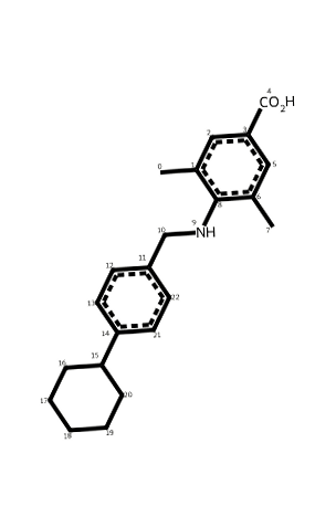 Cc1cc(C(=O)O)cc(C)c1NCc1ccc(C2CCCCC2)cc1